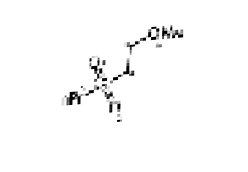 CCCS(=O)(=O)CCOC